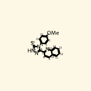 COc1ccc(-n2c(-c3ccc4ccccc4n3)n[nH]c2=S)cc1